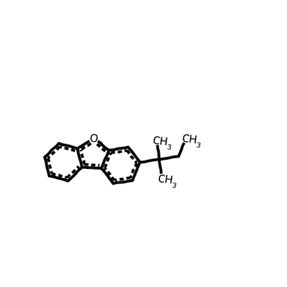 CCC(C)(C)c1ccc2c(c1)oc1ccccc12